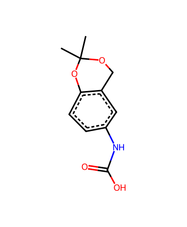 CC1(C)OCc2cc(NC(=O)O)ccc2O1